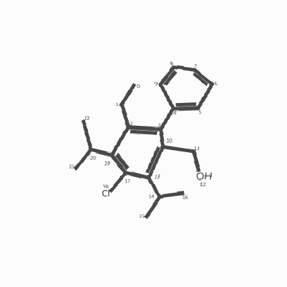 CCc1c(-c2ccccc2)c(CO)c(C(C)C)c(Cl)c1C(C)C